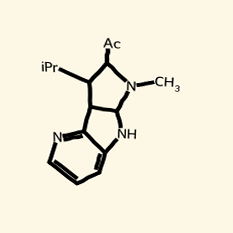 CC(=O)C1C(C(C)C)C2c3ncccc3NC2N1C